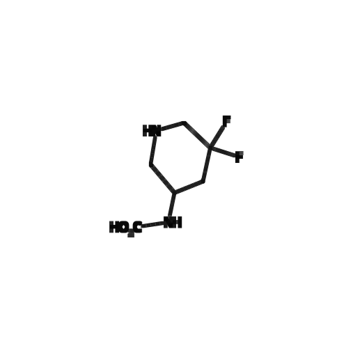 O=C(O)NC1CNCC(F)(F)C1